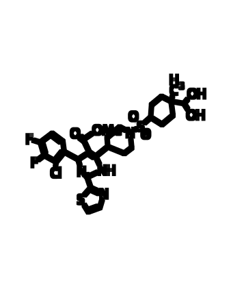 COC(=O)C1=C(C2CCN(S(=O)(=O)C3CCC(C)(C(O)O)CC3)CC2)NC(c2nccs2)=NC1c1ccc(F)c(F)c1Cl